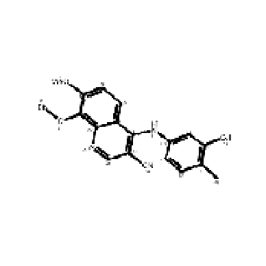 CCOc1c(OC)ccc2c(Nc3ccc(C)c(O)c3)c(C#N)cnc12